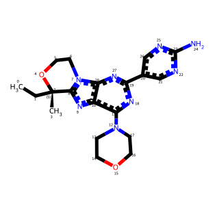 CC[C@]1(C)OCCn2c1nc1c(N3CCOCC3)nc(-c3cnc(N)nc3)nc12